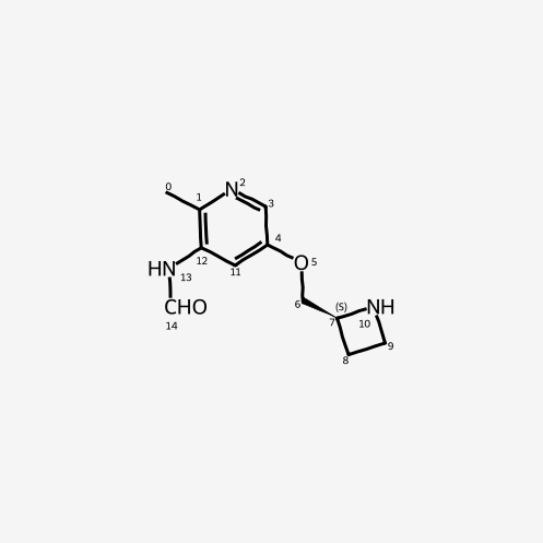 Cc1ncc(OC[C@@H]2CCN2)cc1NC=O